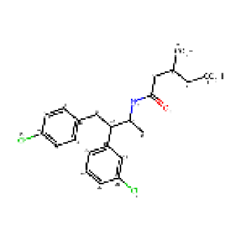 CC(NC(=O)CC(CC(=O)O)C(=O)O)C(Cc1ccc(Cl)cc1)c1cccc(Cl)c1